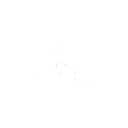 CCCN(C)C(=O)c1cc(C(=O)O)cc(C(=O)N2CCCC2C)c1